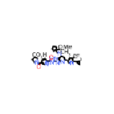 COCC1(CN(C)c2cc(-c3cnc(C4CC4)c(C(F)(F)F)c3)nc3nc(NC(=O)c4ccc(C(=O)N5CCC(C(=O)O)C5)cn4)[nH]c23)CCCC1